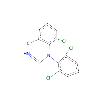 N=CN(c1c(Cl)cccc1Cl)c1c(Cl)cccc1Cl